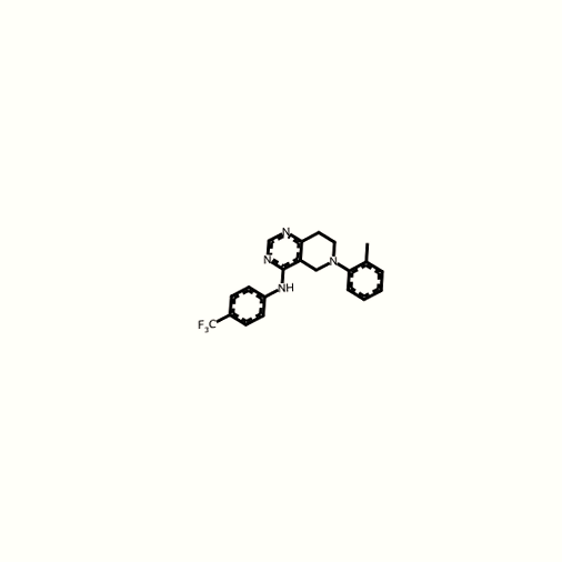 Cc1ccccc1N1CCc2ncnc(Nc3ccc(C(F)(F)F)cc3)c2C1